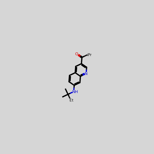 CCC(C)(C)Nc1ccc2cc(C(=O)C(C)C)cnc2c1